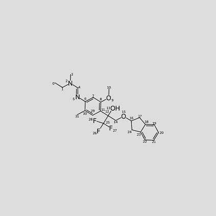 CCN(C)C=Nc1cc(OC)c(C(O)(COC2Cc3ccccc3C2)C(F)(F)F)cc1C